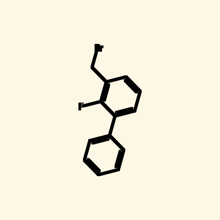 Fc1c(CBr)cccc1-c1ccccc1